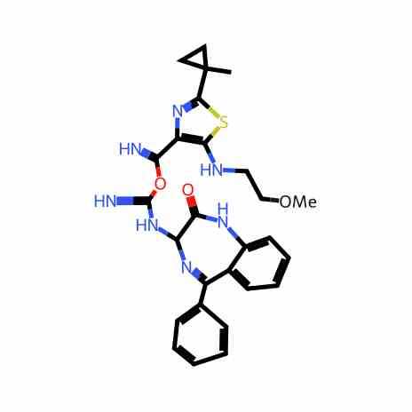 COCCNc1sc(C2(C)CC2)nc1C(=N)OC(=N)NC1N=C(c2ccccc2)c2ccccc2NC1=O